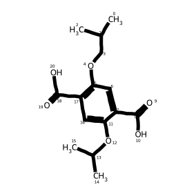 CC(C)COc1cc(C(=O)O)c(OC(C)C)cc1C(=O)O